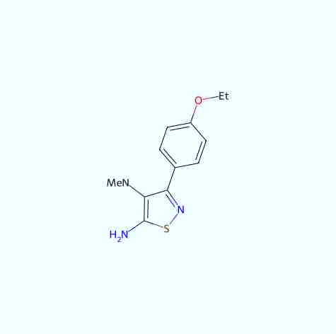 CCOc1ccc(-c2nsc(N)c2NC)cc1